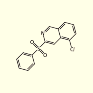 O=S(=O)(c1ccccc1)c1cc2c(Cl)cccc2cn1